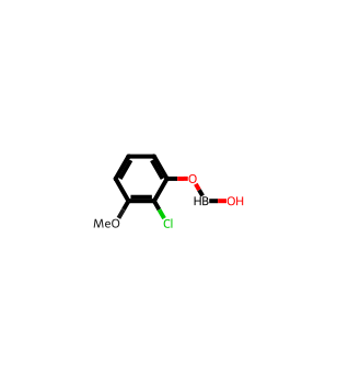 COc1cccc(OBO)c1Cl